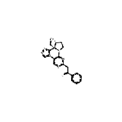 CC[C@@]12CCCN1c1nc(CC(=O)c3ccccc3)ncc1-n1cnnc12